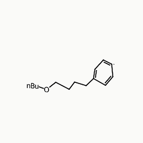 CCCCOCCCCc1cc[c]cc1